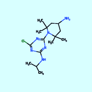 CC(C)Nc1nc(Cl)nc(N2C(C)(C)CC(N)CC2(C)C)n1